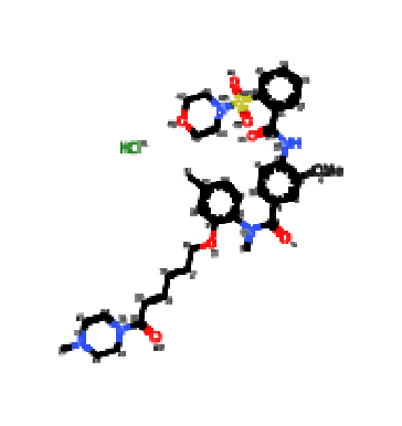 COc1cc(C(=O)N(C)c2ccc(C)cc2OCCCCCC(=O)N2CCN(C)CC2)ccc1NC(=O)c1ccccc1S(=O)(=O)N1CCOCC1.Cl